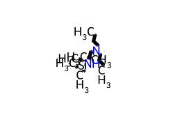 CCCCN(CCCC)CC(C)(C)N[Si](CC)(CC)CC